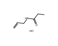 C=CCNC(=O)CC.Cl